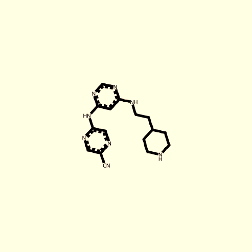 N#Cc1cnc(Nc2cc(NCCC3CCNCC3)ncn2)cn1